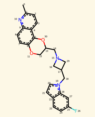 Cc1ccc2c3c(ccc2n1)OCC(CN1CC(Cn2ccc4ccc(F)cc42)C1)O3